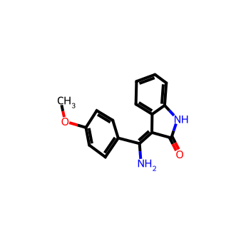 COc1ccc(/C(N)=C2/C(=O)Nc3ccccc32)cc1